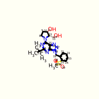 CC(C)(C)c1nc(N2CC[C@H](O)[C@@H]2CO)c2nnn(Cc3ccccc3S(C)(=O)=O)c2n1